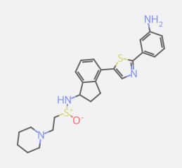 Nc1cccc(-c2ncc(-c3cccc4c3CCC4N[S+]([O-])CCN3CCCCC3)s2)c1